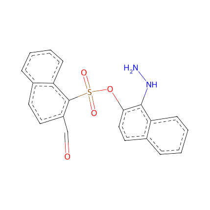 NNc1c(OS(=O)(=O)c2c(C=O)ccc3ccccc23)ccc2ccccc12